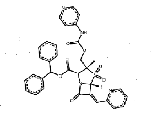 C[C@]1(COC(=O)Nc2ccncc2)[C@H](C(=O)OC(c2ccccc2)c2ccccc2)N2C(=O)/C(=C/c3ccccn3)[C@H]2S1(=O)=O